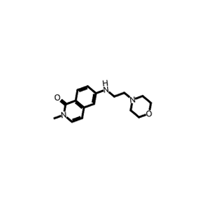 Cn1ccc2cc(NCCN3CCOCC3)ccc2c1=O